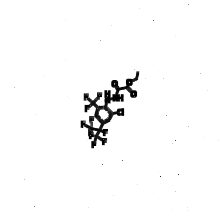 CCOC(=O)C(=O)NNc1c(Cl)cc(C(F)(C(F)(F)F)C(F)(F)F)cc1C(F)(F)F